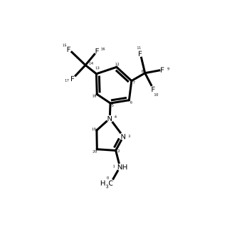 CNC1=NN(c2cc(C(F)(F)F)cc(C(F)(F)F)c2)CC1